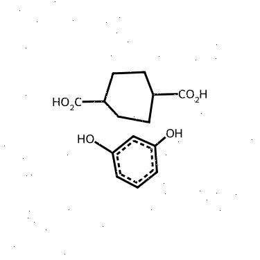 O=C(O)C1CCC(C(=O)O)CC1.Oc1cccc(O)c1